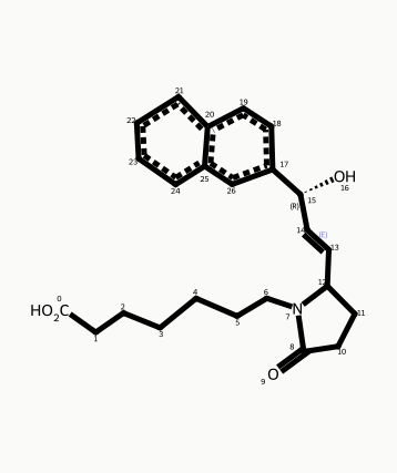 O=C(O)CCCCCCN1C(=O)CCC1/C=C/[C@@H](O)c1ccc2ccccc2c1